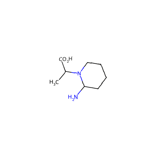 CC(C(=O)O)N1CCCCC1N